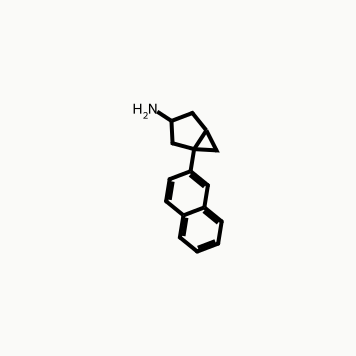 NC1CC2CC2(c2ccc3ccccc3c2)C1